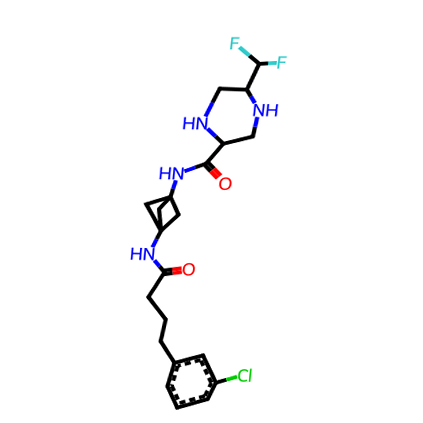 O=C(CCCc1cccc(Cl)c1)NC12CC(NC(=O)C3CNC(C(F)F)CN3)(C1)C2